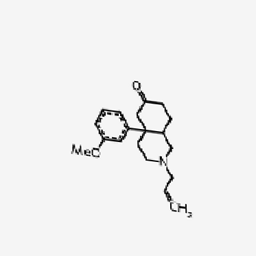 C=CCN1CCC2(c3cccc(OC)c3)CC(=O)CCC2C1